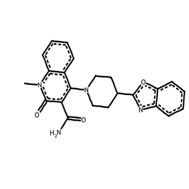 Cn1c(=O)c(C(N)=O)c(N2CCC(c3nc4ccccc4o3)CC2)c2ccccc21